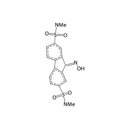 CNS(=O)(=O)c1ccc2c(c1)C(=NO)c1cc(S(=O)(=O)NC)ccc1-2